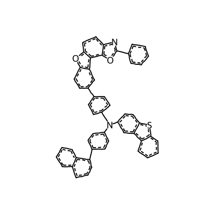 c1ccc(-c2nc3ccc4oc5ccc(-c6ccc(N(c7ccc(-c8cccc9ccccc89)cc7)c7ccc8sc9ccccc9c8c7)cc6)cc5c4c3o2)cc1